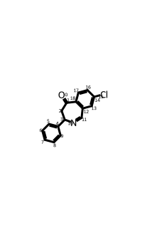 O=C1CC(c2ccccc2)N=Cc2cc(Cl)ccc21